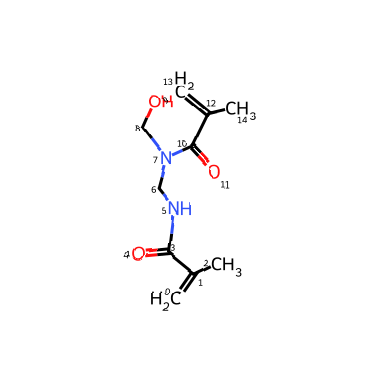 C=C(C)C(=O)NCN(CO)C(=O)C(=C)C